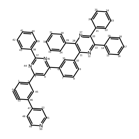 c1cc(-c2cc(-c3cccc(-c4nc(-c5ccccc5)c(-c5ccccc5)nc4-c4ccccc4)c3)nc(-c3ccccc3)n2)cc(-c2ccncc2)c#1